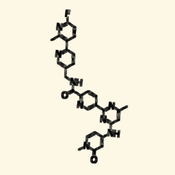 Cc1cc(Nc2ccn(C)c(=O)c2)nc(-c2ccc(C(=O)NCc3ccc(-c4ccc(F)nc4C)nc3)nc2)n1